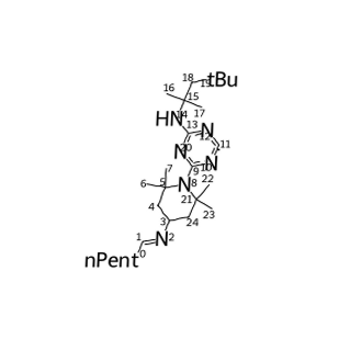 [CH2]CCCCC=NC1CC(C)(C)N(c2n[c]nc(NC(C)(C)CC(C)(C)C)n2)C(C)(C)C1